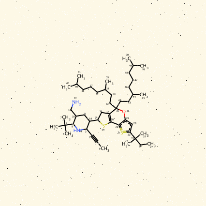 CC#CC1NC(C(C)(C)C)C(CN)CC1C1CC2=C(S1)c1sc(C(C)(C)CC)cc1OC2(CCC(C)CCCC(C)C)CCC(C)CCCC(C)C